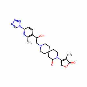 CC1=C(N2CCC3(CCN(CC(O)c4ccc(-n5cnnn5)nc4C)CC3)CC2=O)COC1=O